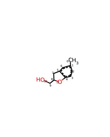 Cc1ccc2c(c1)CC(CO)O2